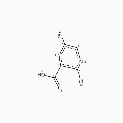 O=C(O)c1nc(Br)cnc1Cl